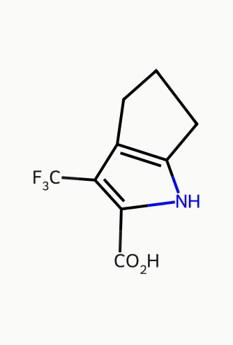 O=C(O)c1[nH]c2c(c1C(F)(F)F)CCC2